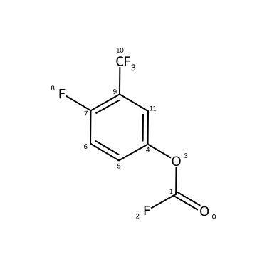 O=C(F)Oc1ccc(F)c(C(F)(F)F)c1